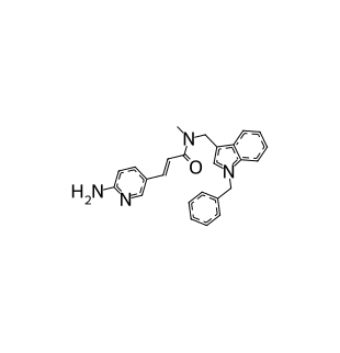 CN(Cc1cn(Cc2ccccc2)c2ccccc12)C(=O)C=Cc1ccc(N)nc1